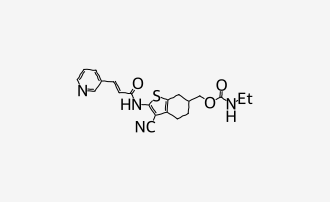 CCNC(=O)OCC1CCc2c(sc(NC(=O)C=Cc3cccnc3)c2C#N)C1